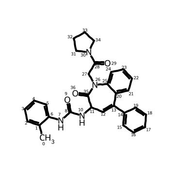 Cc1ccccc1NC(=O)NC1C=C(c2ccccc2)c2ccccc2N(CC(=O)N2CCCC2)C1=O